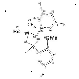 COc1ccc(F)cc1C(C)(C)CC(O)(Cc1cc(C)cc(C)n1)C(F)(F)F